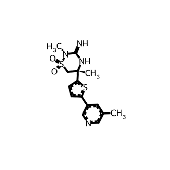 Cc1cncc(-c2ccc([C@]3(C)CS(=O)(=O)N(C)C(=N)N3)s2)c1